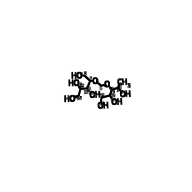 C[C@@H](O)[C@H](OCOC(CO)[C@H](O)C(O)CO)C(O)CO